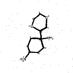 NC1CCC(N)(C2COCCO2)CC1